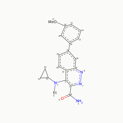 CCN(c1c(C(N)=O)nnc2cc(-c3cccc(OC)c3)ccc12)C1CC1